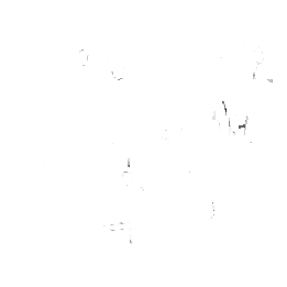 CC(=O)OCC1O[C@H](OC[C@H](N)[C@@H]2OC(C)(C)O[C@@H]2C)C(OCc2ccccc2)[C@@H](OCc2ccccc2)[C@@H]1OCc1ccccc1